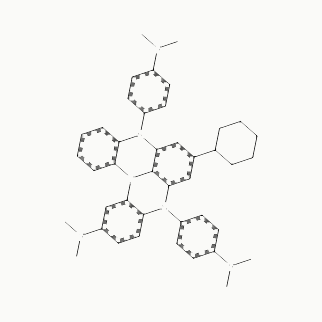 CN(C)c1ccc(N2c3ccccc3B3c4cc(N(C)C)ccc4N(c4ccc(N(C)C)cc4)c4cc(C5CCCCC5)cc2c43)cc1